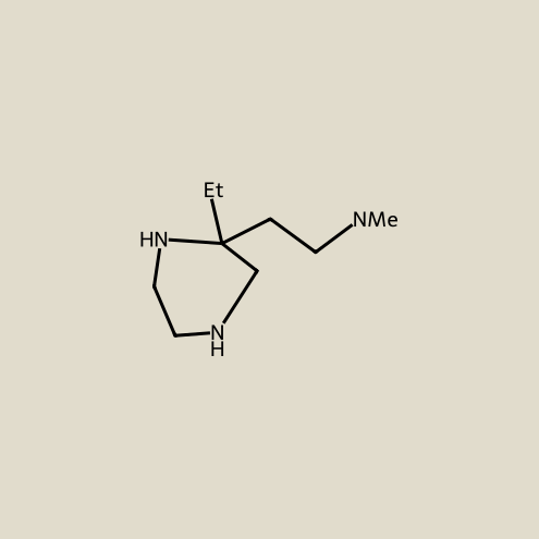 CCC1(CCNC)CNCCN1